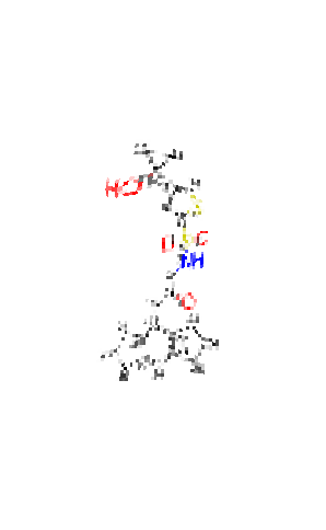 O=C(CNS(=O)(=O)c1cc(C2(O)CC2)cs1)Cc1c2c(cc3c1CCC3)CCC2